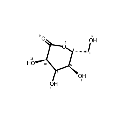 O=C1O[C@H](CO)[C@@H](O)C(O)[C@H]1O